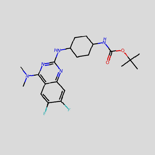 CN(C)c1nc(NC2CCC(NC(=O)OC(C)(C)C)CC2)nc2cc(F)c(F)cc12